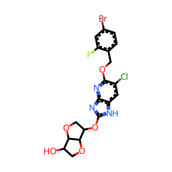 OC1COC2C(Oc3nc4nc(OCc5ccc(Br)cc5F)c(Cl)cc4[nH]3)COC12